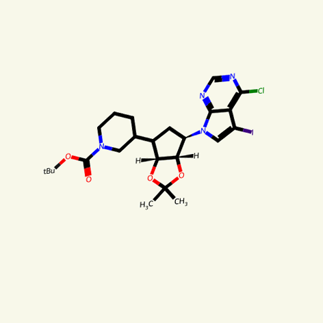 CC(C)(C)OC(=O)N1CCCC(C2C[C@@H](n3cc(I)c4c(Cl)ncnc43)[C@@H]3OC(C)(C)O[C@H]23)C1